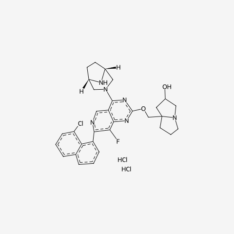 Cl.Cl.OC1CN2CCCC2(COc2nc(N3C[C@H]4CC[C@@H](C3)N4)c3cnc(-c4cccc5cccc(Cl)c45)c(F)c3n2)C1